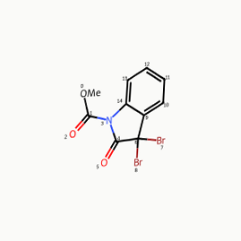 COC(=O)N1C(=O)C(Br)(Br)c2ccccc21